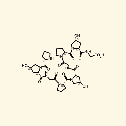 O=C(O)CNC(=O)[C@@H]1C[C@@H](O)CN1C(=O)[C@@H]1CCCN1C(=O)CNC(=O)[C@@H]1C[C@@H](O)CN1C(=O)[C@@H]1CCCN1C(=O)CNC(=O)[C@@H]1C[C@@H](O)CN1C(=O)[C@@H]1CCCN1